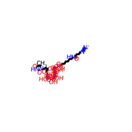 Cc1cn([C@H]2C[C@@H](O)[C@@H](COP(=O)(O)OP(=O)(O)OP(=O)(O)OP(=O)(O)OP(=O)(O)OP(=O)(O)OCCCCCCNC(=O)CCCN=[N+]=[N-])O2)c(=O)[nH]c1=O